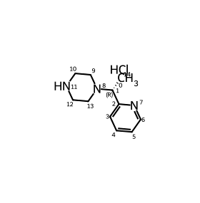 C[C@H](c1ccccn1)N1CCNCC1.Cl